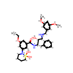 CCOc1cc(C(=O)N[C@@H](Cc2ccccc2)[C@H](O)CNCc2cc(OC)cc(OC)c2)cc(N2CCCCS2(O)O)c1